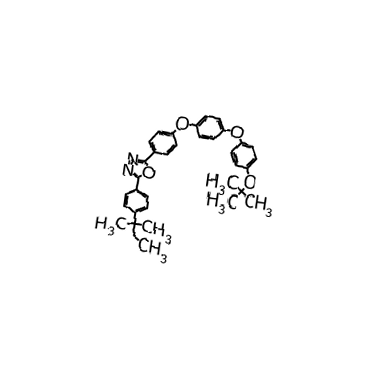 CCC(C)(C)c1ccc(-c2nnc(-c3ccc(Oc4ccc(Oc5ccc(OC(C)(C)C)cc5)cc4)cc3)o2)cc1